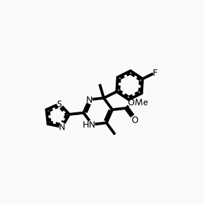 COC(=O)C1=C(C)NC(c2nccs2)=NC1(C)c1ccc(F)cc1